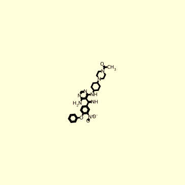 CC(=O)N1CCN(C2CCC(Nc3ncnc(N)c3C(=N)c3ccc(Oc4ccccc4)c([N+](=O)[O-])c3)CC2)CC1